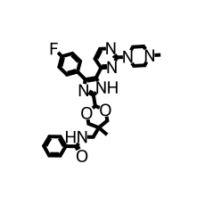 CN1CCN(c2nccc(-c3[nH]c(C4OCC(C)(CNC(=O)c5ccccc5)CO4)nc3-c3ccc(F)cc3)n2)CC1